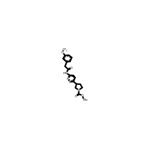 CC(C)(C)OC(=O)N1CCC(c2ccc(NC(=O)Cc3cccc(OC(F)(F)F)c3)nn2)C1